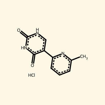 Cc1cccc(-c2c[nH]c(=O)[nH]c2=O)n1.Cl